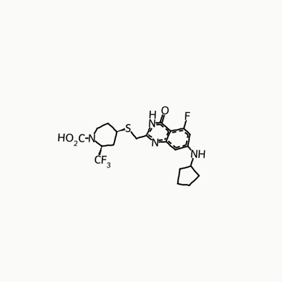 O=C(O)N1CC[C@@H](SCc2nc3cc(NC4CCCC4)cc(F)c3c(=O)[nH]2)C[C@H]1C(F)(F)F